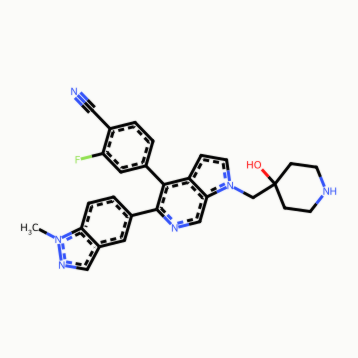 Cn1ncc2cc(-c3ncc4c(ccn4CC4(O)CCNCC4)c3-c3ccc(C#N)c(F)c3)ccc21